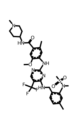 COc1cc(C(=O)NC2CCN(C)CC2)c(C)cc1Nc1ncc(C(F)(F)F)c(NCc2ccc(C)cc2N(C)S(C)(=O)=O)n1